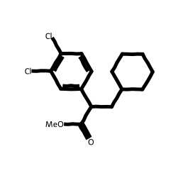 COC(=O)C(CC1CCCCC1)c1ccc(Cl)c(Cl)c1